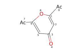 CC(=O)c1cc(=O)cc(C(C)=O)o1